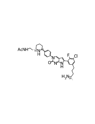 CC(=O)NCC[C@@H]1CCC[C@@H](c2ccc(-n3cc4cc(-c5cc(CCC[C@H](C)N)cc(Cl)c5F)[nH]c4nc3=O)cc2)N1